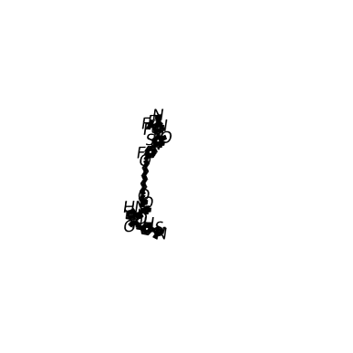 Cc1ncsc1-c1ccc(CNC(=O)[C@@H]2C[C@@H](C)CN2C(=O)[C@@H](NC(=O)COCCCCCCCCOc2ccc(N3C(=S)N(c4cnc(C#N)c(C(F)(F)F)c4)C(=O)C3(C)C)cc2F)C(C)(C)C)cc1